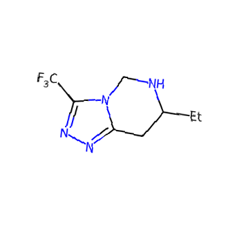 CCC1Cc2nnc(C(F)(F)F)n2CN1